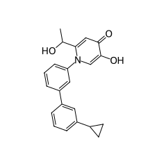 CC(O)c1cc(=O)c(O)cn1-c1cccc(-c2cccc(C3CC3)c2)c1